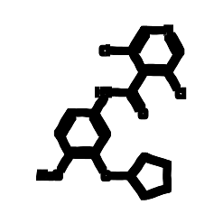 COc1ccc(NC(=O)c2c(Cl)cncc2Cl)cc1OC1CCCC1